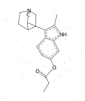 CCC(=O)Oc1ccc2c(C3CN4CCC3CC4)c(C)[nH]c2c1